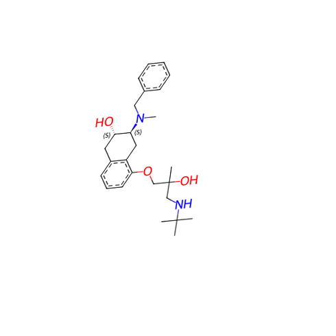 CN(Cc1ccccc1)[C@H]1Cc2c(cccc2OCC(C)(O)CNC(C)(C)C)C[C@@H]1O